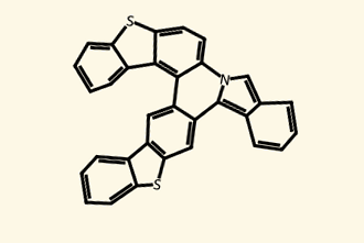 c1ccc2c(c1)cn1c3ccc4sc5ccccc5c4c3c3cc4c(cc3c21)sc1ccccc14